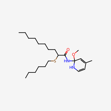 CCCCCCCCC(SCCCCCC)C(=O)NC1(OC)C=C(C)C=CN1